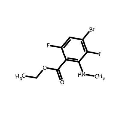 CCOC(=O)c1c(F)cc(Br)c(F)c1NC